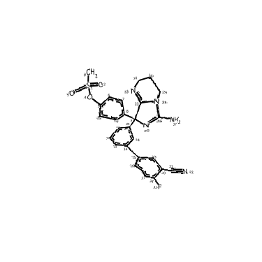 CS(=O)(=O)Oc1ccc(C2(c3cccc(-c4ccc(F)c(C#N)c4)c3)N=C(N)N3CCCN=C32)cc1